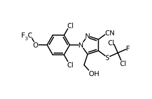 N#Cc1nn(-c2c(Cl)cc(OC(F)(F)F)cc2Cl)c(CO)c1SC(F)(Cl)Cl